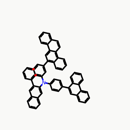 c1ccc(-c2cc3ccccc3cc2N(c2ccc(-c3cc4ccccc4c4ccccc34)cc2)c2cccc(-c3cc4c5ccccc5ccc4c4ccccc34)c2)cc1